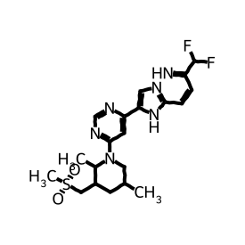 CC1CC(CS(C)(=O)=O)C(C)N(c2cc(-c3cnc(/C=C\C(=N)C(F)F)[nH]3)ncn2)C1